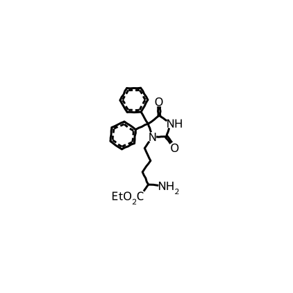 CCOC(=O)C(N)CCCN1C(=O)NC(=O)C1(c1ccccc1)c1ccccc1